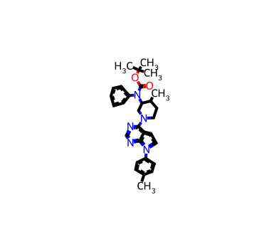 Cc1ccc(-n2ccc3c(N4CCC(C)C(N(C(=O)OC(C)(C)C)c5ccccc5)C4)ncnc32)cc1